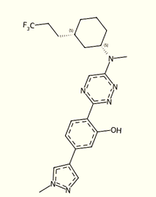 CN(c1cnc(-c2ccc(-c3cnn(C)c3)cc2O)nn1)[C@H]1CCC[C@@H](CCC(F)(F)F)C1